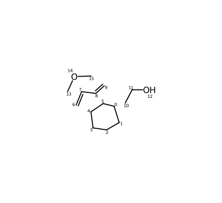 C1CCCCC1.C=CC=C.CCO.COC